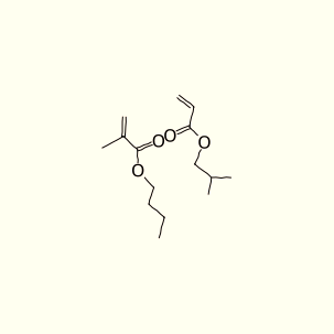 C=C(C)C(=O)OCCCC.C=CC(=O)OCC(C)C